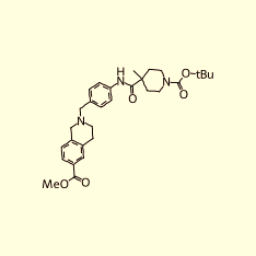 COC(=O)c1ccc2c(c1)CCN(Cc1ccc(NC(=O)C3(C)CCN(C(=O)OC(C)(C)C)CC3)cc1)C2